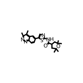 Cc1nnc2ccc(-c3cnc(NC(=O)C4CC(C)(C)OC(C)(C)C4)s3)cc2c1C